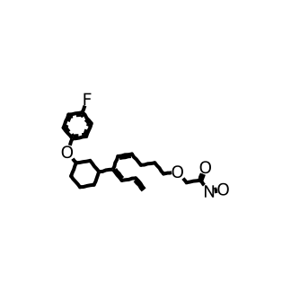 C=C/C=C(\C=C/CCCOCC(=O)N=O)C1CCCC(Oc2ccc(F)cc2)C1